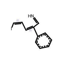 N=C/C(=C\C=C/I)c1ccccc1